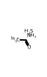 CC=O.N.S